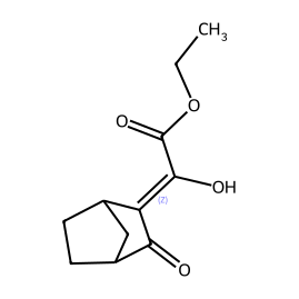 CCOC(=O)/C(O)=C1/C(=O)C2CCC1C2